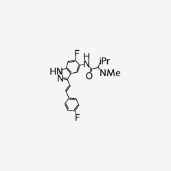 CNC(C(=O)Nc1cc2c(/C=C/c3ccc(F)cc3)n[nH]c2cc1F)C(C)C